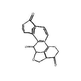 O=C1C=Cc2c1ccc1c2C(=O)C2OCC3C(=O)CCC1=C32